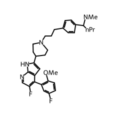 CCCC(NC)c1ccc(CCCN2CCC(c3cc4c(-c5cc(F)ccc5OC)c(F)cnc4[nH]3)CC2)cc1